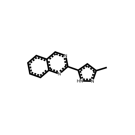 Cc1cc(-c2ncc3ccccc3n2)[nH]n1